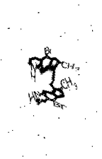 Cc1cc2c(Br)c3ccc[nH]c3cc2c1CCc1c(C)cc2c(Br)c3ccc[nH]c3cc12